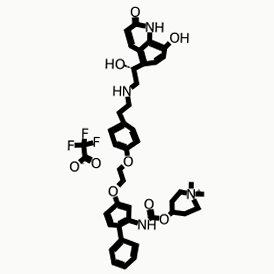 C[N+]1(C)CCC(OC(=O)Nc2cc(OCCOc3ccc(CCNC[C@H](O)c4ccc(O)c5[nH]c(=O)ccc45)cc3)ccc2-c2ccccc2)CC1.O=C([O-])C(F)(F)F